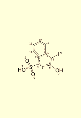 O=S(=O)(O)c1cc(O)c(I)c2ccccc12